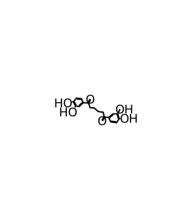 O=C(CCCCC(=O)c1ccc(O)c(O)c1)c1ccc(O)c(O)c1